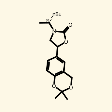 [CH2]CCC[C@@H](C)N1CC(c2ccc3c(c2)COC(C)(C)O3)OC1=O